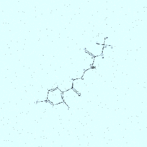 Cc1cc(F)ccc1C(=O)CCCNC(=O)OC(C)(C)C